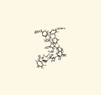 COc1ccc(C(c2ccccc2)(c2ccc(OC)cc2)C(O)[C@H]2O[C@@H](n3cnc4c(=O)[nH]c(NC(=O)C(C)C)nc43)[C@H](OCCCN3C(=O)c4ccccc4C3=O)[C@@H]2O)cc1